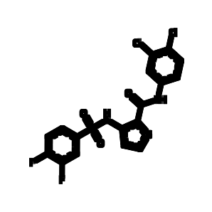 O=C(Nc1ccc(Cl)c(Cl)c1)c1sccc1NS(=O)(=O)c1ccc(F)c(F)c1